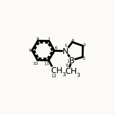 CB1CCCN1c1ccccc1C